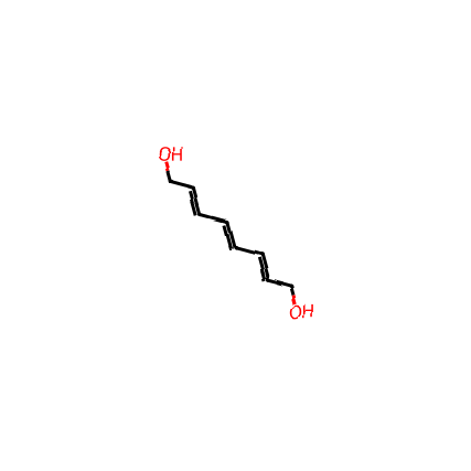 OCC=CC=CC=CCO